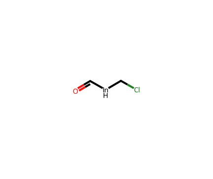 O=[CH][InH][CH2]Cl